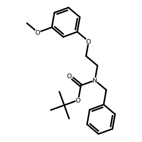 COc1cccc(OCCN(Cc2ccccc2)C(=O)OC(C)(C)C)c1